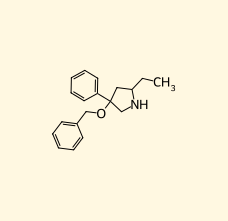 CCC1CC(OCc2ccccc2)(c2ccccc2)CN1